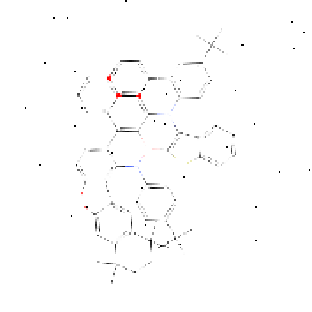 CC(C)(C)c1ccc(N2B3c4sc5ccccc5c4N(c4ccc(C(C)(C)C)cc4-c4ccccc4)c4cc5ccccc5c(c43)-c3ccc4oc5cc6c(cc5c4c32)C(C)(C)CCC6(C)C)cc1